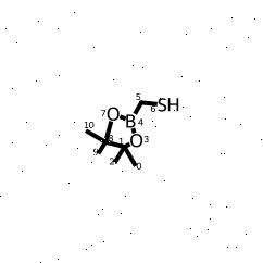 CC1(C)OB(CS)OC1(C)C